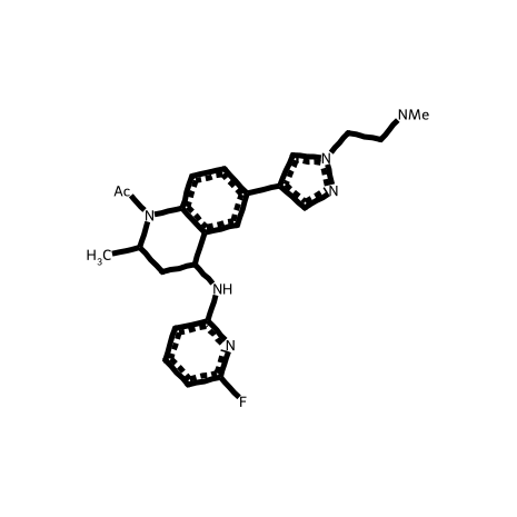 CNCCn1cc(-c2ccc3c(c2)C(Nc2cccc(F)n2)CC(C)N3C(C)=O)cn1